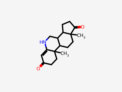 CC12CCC3C(CNC4=CC(=O)CCC43C)C1CCC2=O